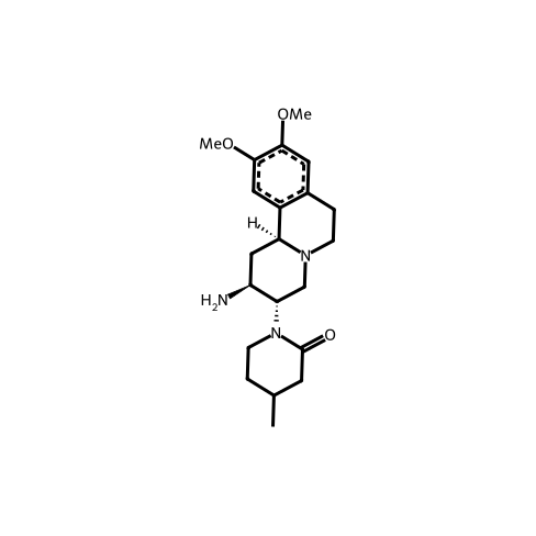 COc1cc2c(cc1OC)[C@@H]1C[C@H](N)[C@@H](N3CCC(C)CC3=O)CN1CC2